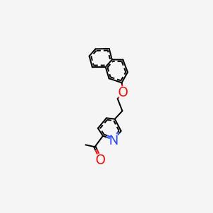 CC(=O)c1ccc(CCOc2ccc3ccccc3c2)cn1